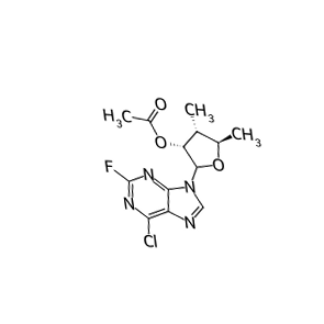 CC(=O)O[C@H]1C(n2cnc3c(Cl)nc(F)nc32)O[C@H](C)[C@H]1C